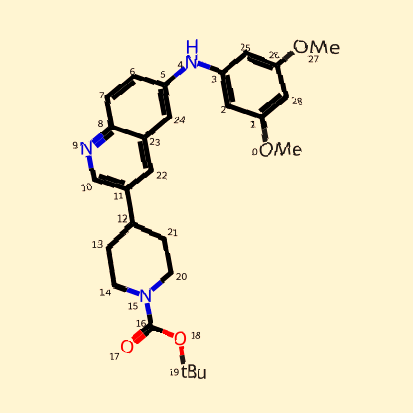 COc1cc(Nc2ccc3ncc(C4CCN(C(=O)OC(C)(C)C)CC4)cc3c2)cc(OC)c1